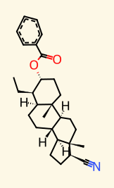 CC[C@H]1[C@H](OC(=O)c2ccccc2)CC[C@]2(C)[C@H]3CC[C@]4(C)[C@@H](C#N)CC[C@H]4[C@@H]3CC[C@@H]12